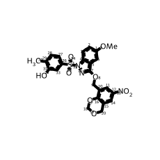 COc1ccc2c(c1)c(OCc1cc([N+](=O)[O-])cc3c1OCOC3)nn2S(=O)(=O)c1ccc(C)c(O)c1